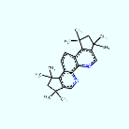 CC1(C)CC(C)(C)c2c1cnc1c2ccc2c3c(cnc21)C(C)(C)CC3(C)C